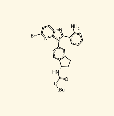 CC(C)(C)OC(=O)N[C@H]1CCc2cc(-n3c(-c4cccnc4N)nc4ccc(Br)nc43)ccc21